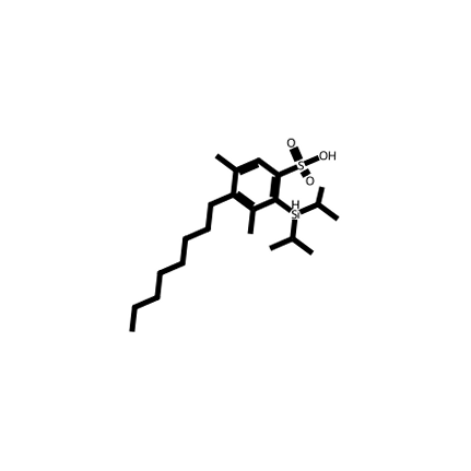 CCCCCCCCc1c(C)cc(S(=O)(=O)O)c([SiH](C(C)C)C(C)C)c1C